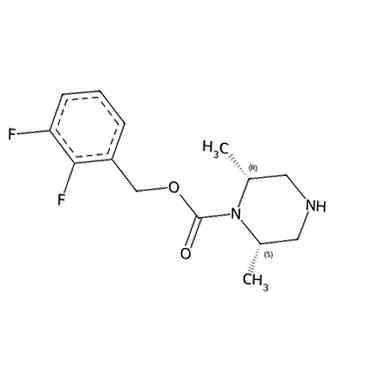 C[C@@H]1CNC[C@H](C)N1C(=O)OCc1cccc(F)c1F